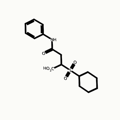 O=C(CC(C(=O)O)S(=O)(=O)C1CCCCC1)Nc1ccccc1